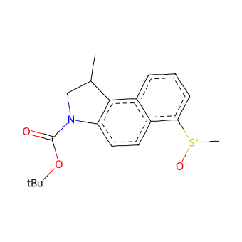 CC1CN(C(=O)OC(C)(C)C)c2ccc3c([S+](C)[O-])cccc3c21